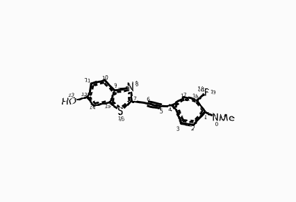 CNc1ccc(C#Cc2nc3ccc(O)cc3s2)cc1[18F]